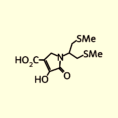 CSCC(CSC)N1CC(C(=O)O)=C(O)C1=O